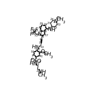 CNCCNS(=O)(=O)c1ccc(NCC#Cc2cc3c(NC4CCN(C)CC4)cccc3n2CC(F)(F)F)c(OC)c1